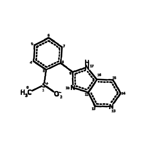 C[S+]([O-])c1ccccc1-c1nc2cnccc2[nH]1